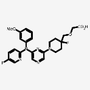 COc1cccc(N(c2ccc(F)cn2)c2cncc(N3CCC(F)(COCC(=O)O)CC3)n2)c1